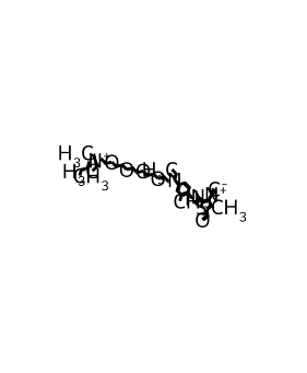 [C-]#[N+]c1c(/N=N/c2ccc(N(CC)CCOCCOCCOCCOCC[N+](CC)(CC)CCCC)cc2C)sc(C=O)c1C